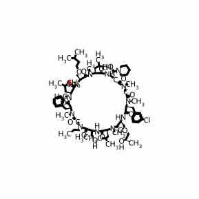 CCCN1CC(=O)N(C)[C@@H](Cc2ccccc2)C(=O)N(C)[C@@H](CC(C)C)C(=O)N[C@@H](COCCC(C)C)C(=O)N(C)[C@@H](CC(C)C)C(=O)N[C@H](C(O)N2CCCCC2)CC(=O)N(C)CC(=O)N(C)[C@@H](Cc2cccc(Cl)c2)C(=O)N[C@@H](COC[C@H](C)O)C(=O)N(C)[C@@H](CC(C)C)C(=O)NC([C@@H](C)O)C1=O